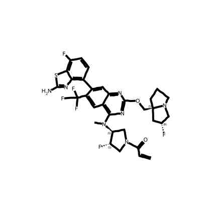 C=CC(=O)N1C[C@H](F)[C@@H](N(C)c2nc(OC[C@@]34CCCN3C[C@H](F)C4)nc3cc(-c4ccc(F)c5sc(N)nc45)c(C(F)(F)F)cc23)C1